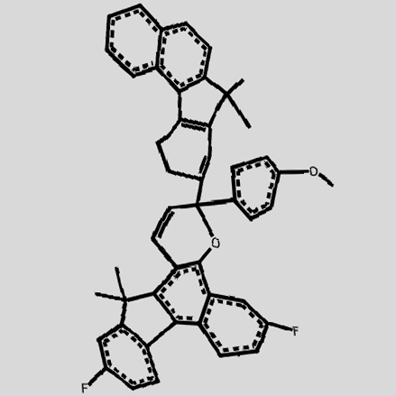 COc1ccc(C2(C3=CC4=C(CC3)c3c(ccc5ccccc35)C4(C)C)C=Cc3c4c(c5ccc(F)cc5c3O2)-c2ccc(F)cc2C4(C)C)cc1